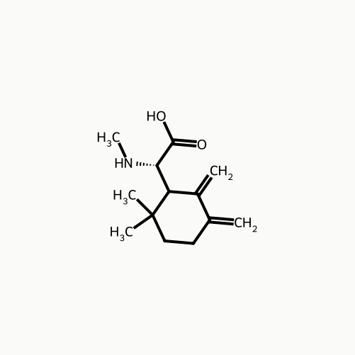 C=C1CCC(C)(C)C([C@H](NC)C(=O)O)C1=C